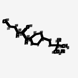 CCOC(=O)C(C)(CC)CCC1CCC(NC(=O)NCCCl)CC1